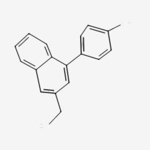 CC(=O)Cc1cc(-c2ccc(C(F)(F)F)cc2)c2ccccc2c1